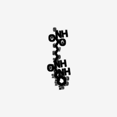 CNC(=O)C(=O)CCCCCNC(=O)c1cc2ccccc2[nH]1